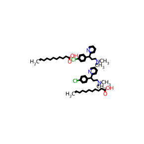 C=CCCCCCCCCC(=O)O.C=CCCCCCCCCC(=O)O.CN(C)CCC(c1ccc(Cl)cc1)c1ccccn1.CN(C)CCC(c1ccc(Cl)cc1)c1ccccn1